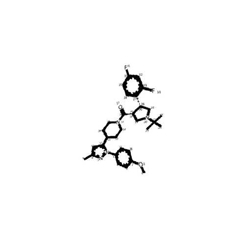 COc1ccc(-n2nc(C)cc2C2CCN(C(=O)[C@@H]3CN(C(C)(C)C)C[C@H]3c3ccc(F)cc3F)CC2)cc1